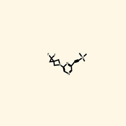 C[Si](C)(C)C#Cc1cncc(N2CC3(C2)CC3(F)F)n1